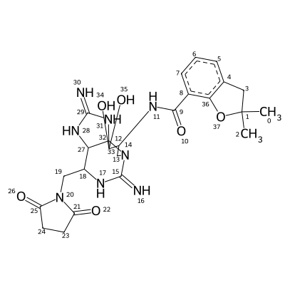 CC1(C)Cc2cccc(C(=O)NC3CN4C(=N)NC(CN5C(=O)CCC5=O)C5NC(=N)NC54C3(O)O)c2O1